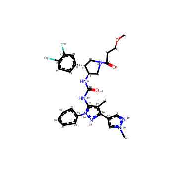 COCCC(=O)N1C[C@@H](NC(=O)Nc2c(C)c(-c3cnn(C)c3)nn2-c2ccccc2)[C@H](c2ccc(F)c(F)c2)C1